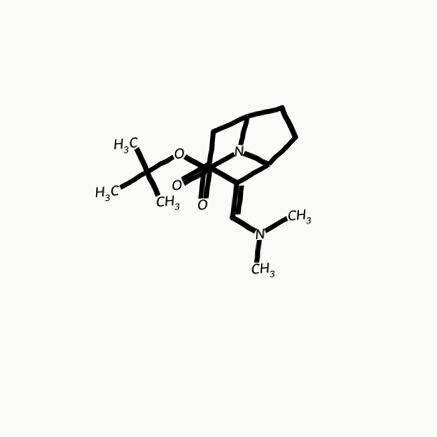 CN(C)/C=C1/C(=O)CC2CCC1N2C(=O)OC(C)(C)C